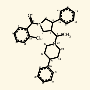 CC(C1CN(C(=O)c2ccccc2Cl)CC1c1ccccc1)N1CCC(c2ccccc2)CC1